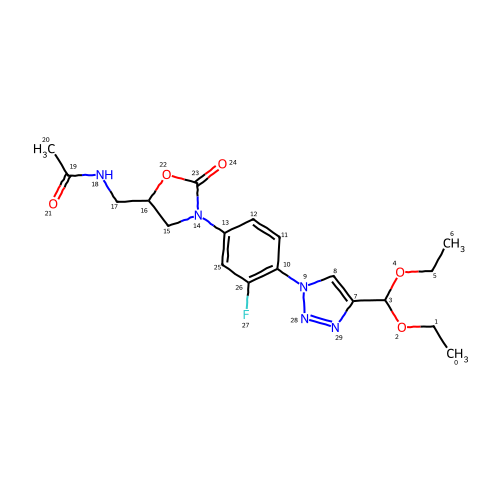 CCOC(OCC)c1cn(-c2ccc(N3CC(CNC(C)=O)OC3=O)cc2F)nn1